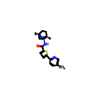 Cc1ccc(-c2ccc(C(=O)N[C@@H]3C[C@H]4CC[C@@H]3N4)s2)nc1